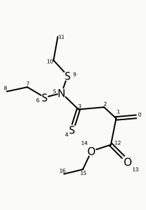 C=C(CC(=S)N(SCC)SCC)C(=O)OCC